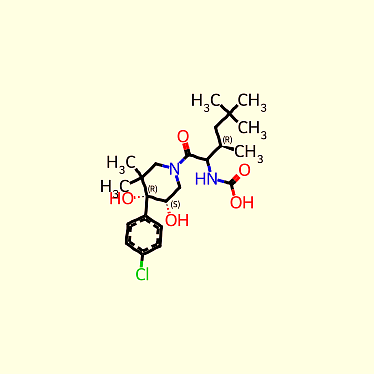 C[C@H](CC(C)(C)C)C(NC(=O)O)C(=O)N1C[C@H](O)[C@@](O)(c2ccc(Cl)cc2)C(C)(C)C1